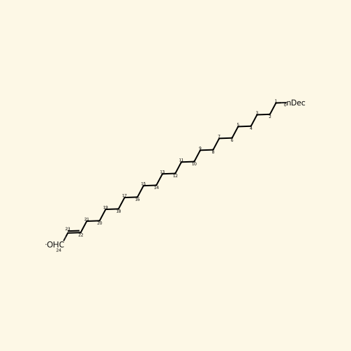 CCCCCCCCCCCCCCCCCCCCCCCCCCCCCCC/C=C/[C]=O